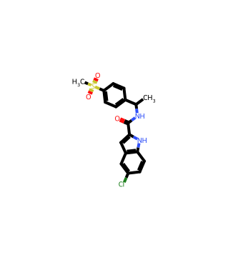 CC(NC(=O)c1cc2cc(Cl)ccc2[nH]1)c1ccc(S(C)(=O)=O)cc1